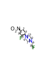 O=[N+]([O-])c1ccc(N2CCN(CCF)CC2)c(F)c1